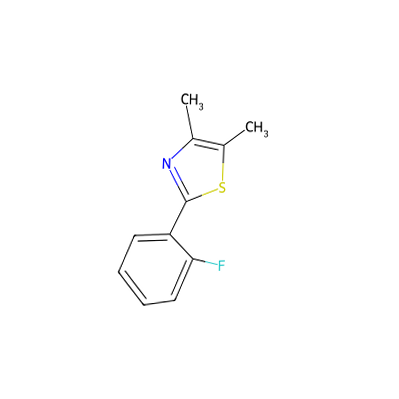 Cc1nc(-c2ccccc2F)sc1C